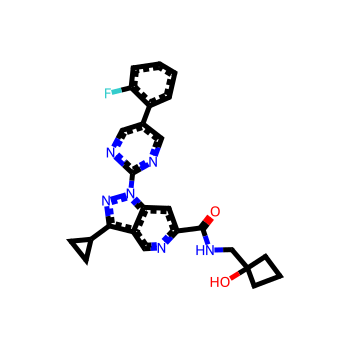 O=C(NCC1(O)CCC1)c1cc2c(cn1)c(C1CC1)nn2-c1ncc(-c2ccccc2F)cn1